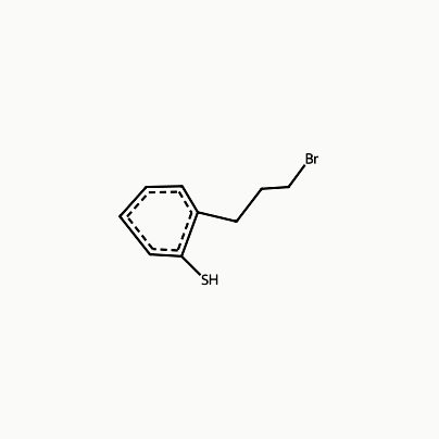 Sc1ccccc1CCCBr